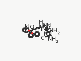 N=C(NCCCC(=O)C(Cc1ccccc1)C1CC2CC[C@H](C1)N2Cc1ccccc1)NC(=O)c1nc(Cl)c(N)nc1N